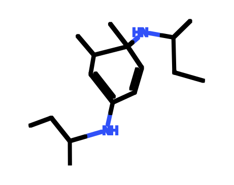 CCC(C)NC1=CC(C)C(C)(NC(C)CC)C=C1